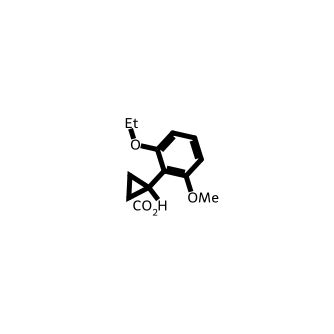 CCOc1cccc(OC)c1C1(C(=O)O)CC1